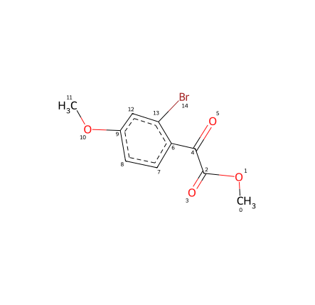 COC(=O)C(=O)c1ccc(OC)cc1Br